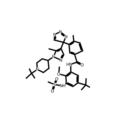 COc1c(NC(=O)c2ccc(C)c(C3(c4cnn(C5CCN(C(C)(C)C)CC5)c4C)C=NN=N3)c2)cc(C(C)(C)C)cc1NS(C)(=O)=O